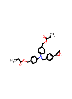 C=CC(=O)OCc1ccc(N(Cc2ccc(C3CO3)cc2)c2ccc(COC(=O)C=C)cc2)cc1